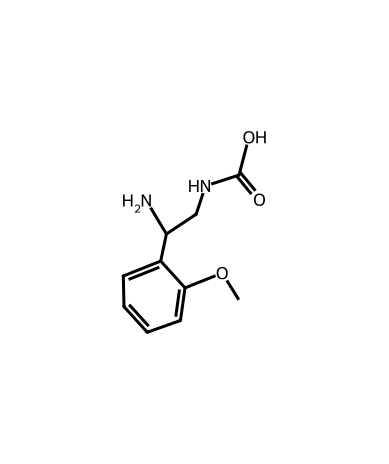 COc1ccccc1C(N)CNC(=O)O